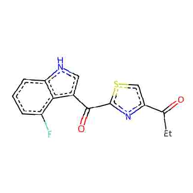 CCC(=O)c1csc(C(=O)c2c[nH]c3cccc(F)c23)n1